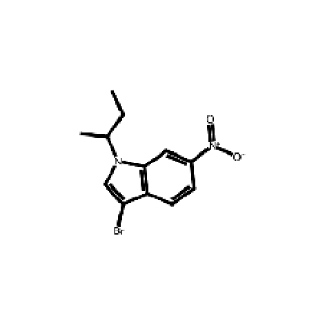 CCC(C)n1cc(Br)c2ccc([N+](=O)[O-])cc21